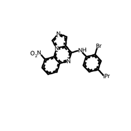 CC(C)c1ccc(Nc2nc3cccc([N+](=O)[O-])c3n3cncc23)c(Br)c1